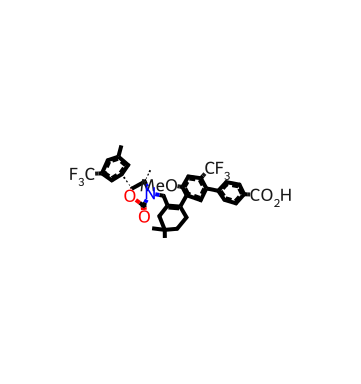 COc1cc(C(F)(F)F)c(-c2ccc(C(=O)O)cc2)cc1C1=C(CN2C(=O)O[C@H](c3cc(C)cc(C(F)(F)F)c3)[C@@H]2C)CC(C)(C)CC1